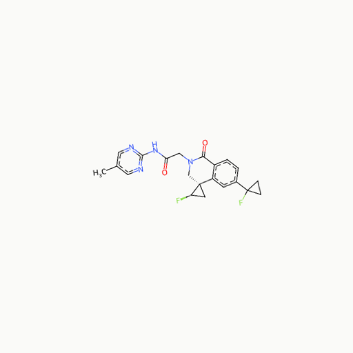 Cc1cnc(NC(=O)CN2C[C@@]3(C[C@H]3F)c3cc(C4(F)CC4)ccc3C2=O)nc1